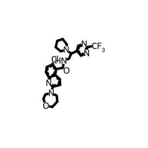 O=C(NCC(c1cnc(C(F)(F)F)nc1)N1CCCCC1)c1c(Cl)ccc2nc(N3CCCOCC3)ccc12